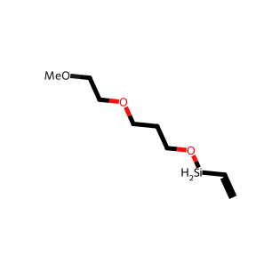 C=C[SiH2]OCCCOCCOC